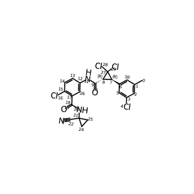 Cc1cc(Cl)cc([C@H]2[C@H](C(=O)Nc3ccc(Cl)c(C(=O)NC4(C#N)CC4)c3)C2(Cl)Cl)c1